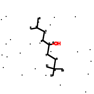 CC(C)CCC(O)CCC(C)(C)C